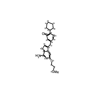 COCCOc1nc(N)c2ncc(Cc3cnc(N4CCCCC4)c(Cl)c3)n2n1